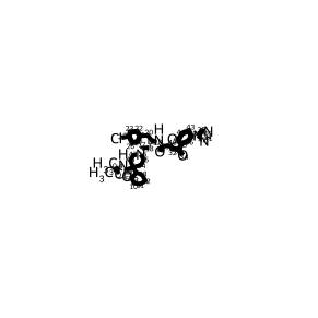 CC(C)(C)NC(=O)C1(C2CCCCC2)CCN(CC[C@H](Cc2ccc(Cl)cc2)NC(=O)c2cc(=O)c3cc(-n4cncn4)ccc3o2)CC1